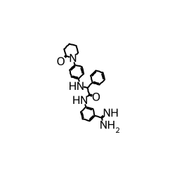 N=C(N)c1cccc(NC(=O)C(Nc2ccc(N3CCCCC3=O)cc2)c2ccccc2)c1